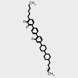 C/C=C/CCC1CCC(C2CCC(c3ccc(-c4ccc(-c5ccc(CCCCCC)c(F)c5F)cc4)c(F)c3)CC2)CC1